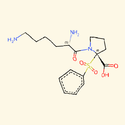 NCCCC[C@H](N)C(=O)N1CCC[C@]1(C(=O)O)S(=O)(=O)c1ccccc1